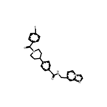 O=C(NCc1ccn2ccnc2c1)c1ccc(C2CCN(C(=O)c3ccc(F)cc3)CC2)cc1